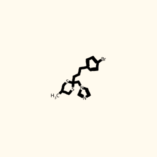 CC1CSC(CCCc2ccc(Br)cc2)(Cn2ccnc2)SC1